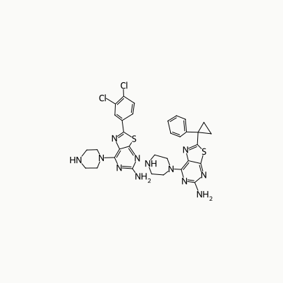 Nc1nc(N2CCNCC2)c2nc(-c3ccc(Cl)c(Cl)c3)sc2n1.Nc1nc(N2CCNCC2)c2nc(C3(c4ccccc4)CC3)sc2n1